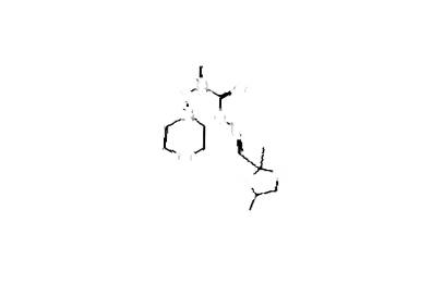 CC1CSC(C)(C=NOC(=O)N(C)SN2CCOCC2)S1